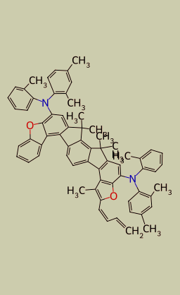 C=C/C=C\c1oc2c(N(c3ccccc3C)c3ccc(C)cc3C)cc3c(c2c1C)-c1ccc2c(c1C3(C)C)C(C)(C)c1cc(N(c3ccccc3C)c3ccc(C)cc3C)c3oc4ccccc4c3c1-2